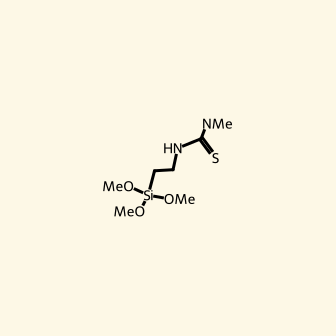 CNC(=S)NCC[Si](OC)(OC)OC